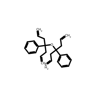 C=CCC(CC=C)(OC(CC=C)(CC=C)c1ccccc1)c1ccccc1